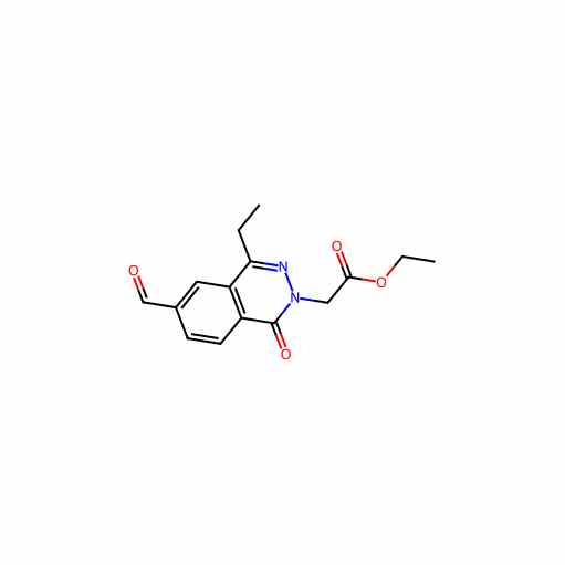 CCOC(=O)Cn1nc(CC)c2cc(C=O)ccc2c1=O